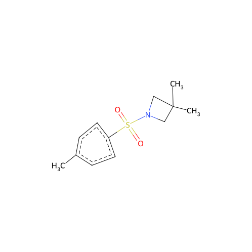 Cc1ccc(S(=O)(=O)N2CC(C)(C)C2)cc1